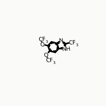 FC(F)(F)Oc1cc2nc(C(F)(F)F)[nH]c2cc1OC(F)(F)F